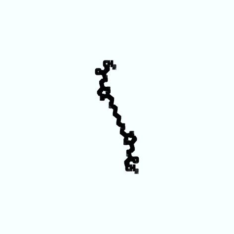 C=CC(=O)SCC1CSC(CSCCCCSCC2SCC(CSC(=O)C=C)S2)S1